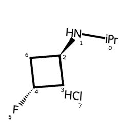 CC(C)N[C@H]1C[C@H](F)C1.Cl